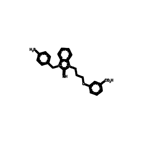 Bc1ccc(Cn2c(=N)n(CCCOc3cccc(C(=O)O)c3)c3ccccc32)cc1